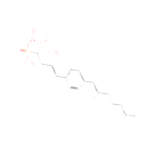 CC(C)=CCC/C(C)=C/c1ccc(/C=C/CC(P(=O)(O)O)P(=O)(O)O)cc1